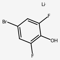 Oc1c(F)cc(Br)cc1F.[Li]